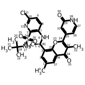 Cc1cc([C@@H](C)Nc2ccc(Cl)nc2S(=O)(=O)NC(C)(C)C)c2oc(-c3cc[nH]c(=O)c3)c(C)c(=O)c2c1